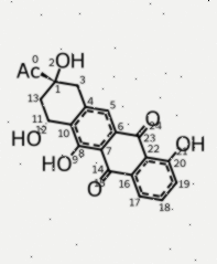 CC(=O)[C@@]1(O)Cc2cc3c(c(O)c2[C@H](O)C1)C(=O)c1cccc(O)c1C3=O